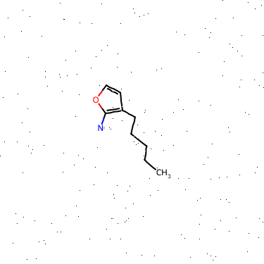 CCCCCc1ccoc1[N]